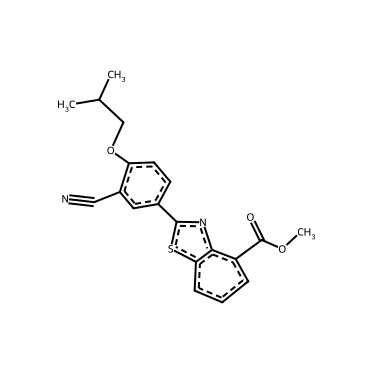 COC(=O)c1cccc2sc(-c3ccc(OCC(C)C)c(C#N)c3)nc12